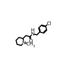 CN1CCCCC1CC(=O)NCc1ccc(Cl)cc1